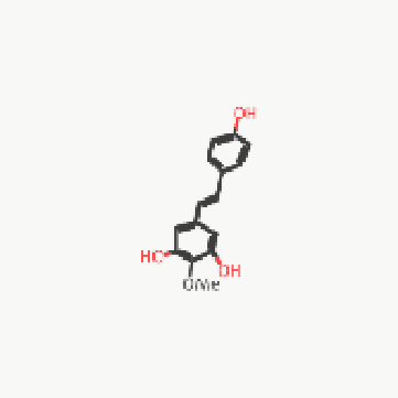 COc1c(O)cc(C=Cc2ccc(O)cc2)cc1O